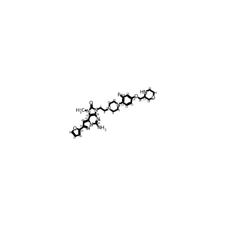 Cn1c(=O)n(CCN2CCN(c3ccc(OCC4COCCN4)cc3F)CC2)c2nc(N)n3nc(-c4ccco4)cc3c21